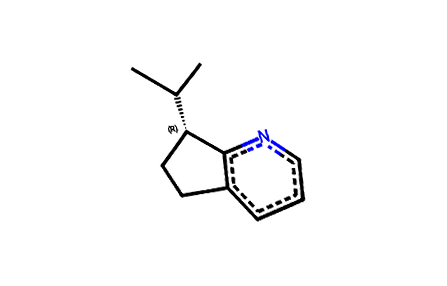 CC(C)[C@H]1CCc2cccnc21